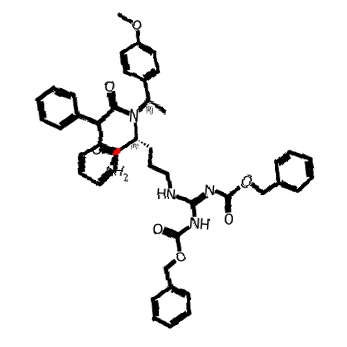 COc1ccc([C@@H](C)N(C(=O)C(c2ccccc2)c2ccccc2)[C@H](CCCNC(=NC(=O)OCc2ccccc2)NC(=O)OCc2ccccc2)C(N)=O)cc1